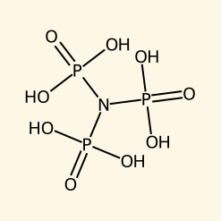 O=P(O)(O)N(P(=O)(O)O)P(=O)(O)O